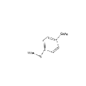 COc1ccc(S[TeH])cc1